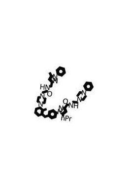 CCCc1cc(C(=O)NCCN2CCN(c3ccccc3)CC2)nn1-c1ccc(CC2=C(C)C(N3CCN(CC(=O)NCc4cc(C)n(-c5ccccc5)n4)CC3)CC=C2)cc1